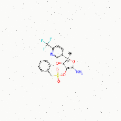 [2H][C@]1(c2ccc(C(F)(F)F)nc2)OC(N)=C(OS(=O)(=O)Cc2ccccc2)C1=O